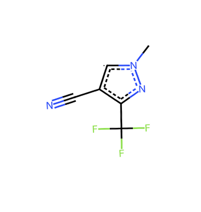 Cn1[c]c(C#N)c(C(F)(F)F)n1